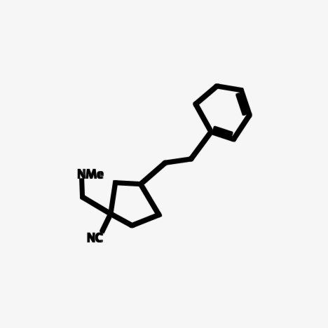 CNCC1(C#N)CCC(CCC2=CC=CCC2)C1